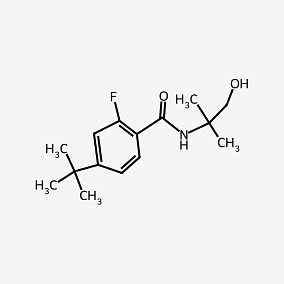 CC(C)(CO)NC(=O)c1ccc(C(C)(C)C)cc1F